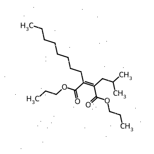 CCCCCCCC/C(C(=O)OCCC)=C(\CC(C)C)C(=O)OCCC